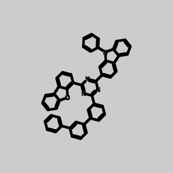 c1ccc(-c2cccc(-c3cccc(-c4nc(-c5ccc6c7ccccc7n(-c7ccccc7)c6c5)nc(-c5cccc6c5oc5ccccc56)n4)c3)c2)cc1